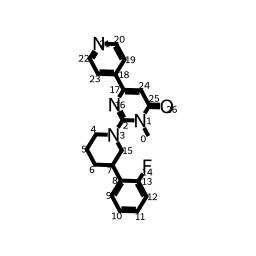 Cn1c(N2CCCC(c3ccccc3F)C2)nc(-c2ccncc2)cc1=O